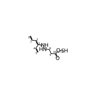 C=C/C=C(\C=C)NNCCC(=O)OS